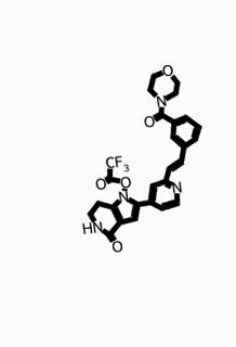 O=C1NCCc2c1cc(-c1ccnc(C=Cc3cccc(C(=O)N4CCOCC4)c3)c1)n2OC(=O)C(F)(F)F